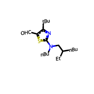 CCCCC(CC)CN(CCCC)c1nc(C(C)(C)C)c(C=O)s1